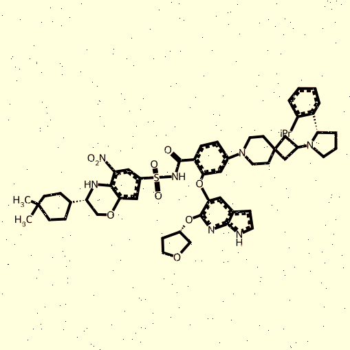 CC(C)c1ccccc1[C@@H]1CCCN1C1CC2(CCN(c3ccc(C(=O)NS(=O)(=O)c4cc5c(c([N+](=O)[O-])c4)N[C@@H](C4CCC(C)(C)CC4)CO5)c(Oc4cc5cc[nH]c5nc4O[C@H]4CCOC4)c3)CC2)C1